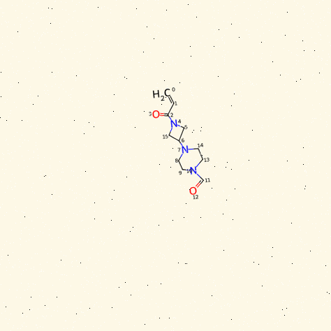 C=CC(=O)N1CC(N2CCN(C=O)CC2)C1